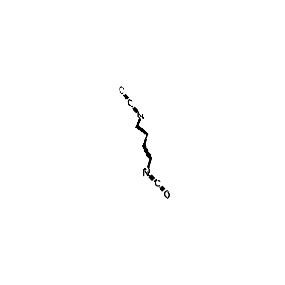 O=C=NC=CC=CN=C=O